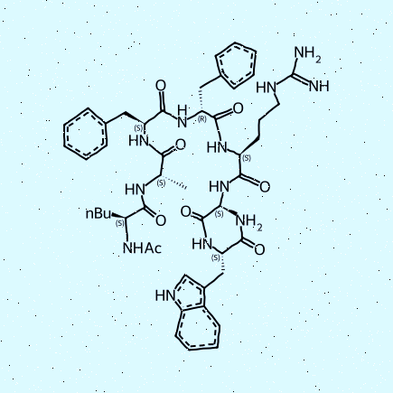 CCCC[C@H](NC(C)=O)C(=O)N[C@@H](C)C(=O)N[C@@H](Cc1ccccc1)C(=O)N[C@H](Cc1ccccc1)C(=O)N[C@@H](CCCNC(=N)N)C(=O)N[C@@H](C)C(=O)N[C@@H](Cc1c[nH]c2ccccc12)C(N)=O